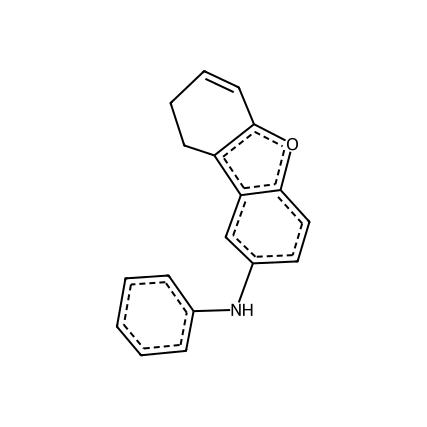 C1=Cc2oc3ccc(Nc4ccccc4)cc3c2CC1